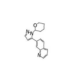 c1cnc2cc(-c3ccnn3C3CCCCO3)ccc2c1